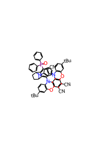 CC(C)(C)c1ccc2c(c1)Oc1cc(C#N)ccc1N2c1c(C#N)c(P(=O)(c2ccccc2)c2ccccc2)c2c(c1N1c3ccc(C#N)cc3Oc3cc(C(C)(C)C)ccc31)C1CCC2N1c1ccccc1